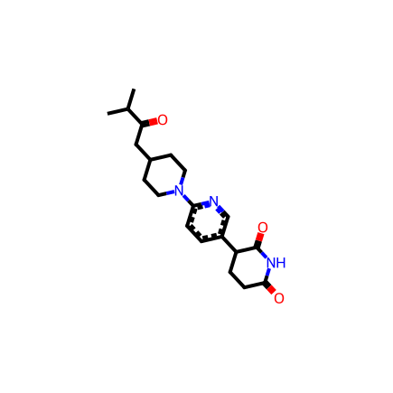 CC(C)C(=O)CC1CCN(c2ccc(C3CCC(=O)NC3=O)cn2)CC1